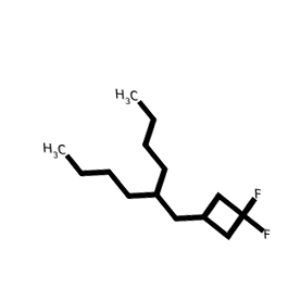 CCCCC(CCCC)CC1CC(F)(F)C1